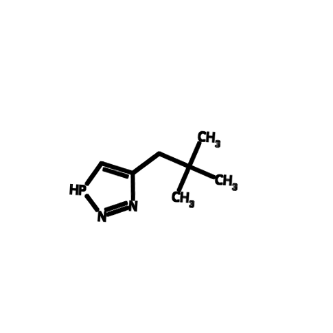 CC(C)(C)Cc1c[pH]nn1